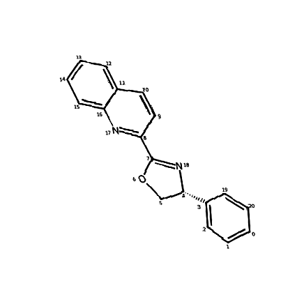 c1ccc([C@@H]2COC(c3ccc4ccccc4n3)=N2)cc1